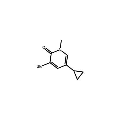 Cn1cc(C2CC2)cc(C(C)(C)C)c1=O